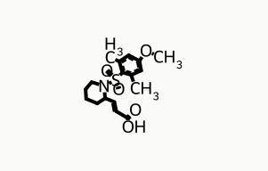 COc1cc(C)c(S(=O)(=O)N2CCCCC2C=CC(=O)O)c(C)c1